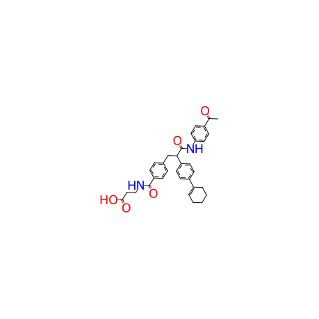 CC(=O)c1ccc(NC(=O)C(Cc2ccc(C(=O)NCCC(=O)O)cc2)c2ccc(C3=CCCCC3)cc2)cc1